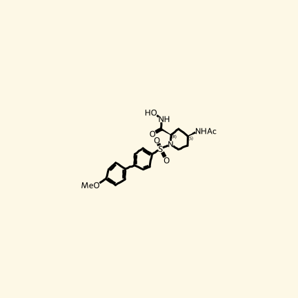 COc1ccc(-c2ccc(S(=O)(=O)N3CC[C@H](NC(C)=O)C[C@@H]3C(=O)NO)cc2)cc1